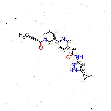 CC#CC(=O)N1CCC=C(c2ccc(CC(=O)Nc3cc(C4CC4)[nH]n3)cn2)C1